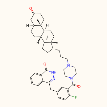 C[C@]12CCC(=O)C[C@@H]1CC[C@@H]1[C@@H]2CC[C@]2(C)[C@H](CCCN3CCN(C(=O)c4cc(Cc5n[nH]c(=O)c6ccccc56)ccc4F)CC3)CC[C@@H]12